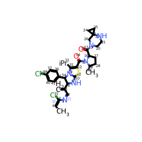 C=C(/C=N\C(Cl)=C/C)C1NC2SC(C(=O)N3C(C(=O)N4CCNC5(CC5)C4)CC[C@H]3C)=C(C(C)C)N2C1c1ccc(Cl)cc1